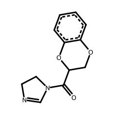 O=C(C1COc2ccccc2O1)N1C=NCC1